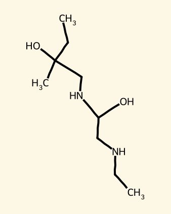 CCNCC(O)NCC(C)(O)CC